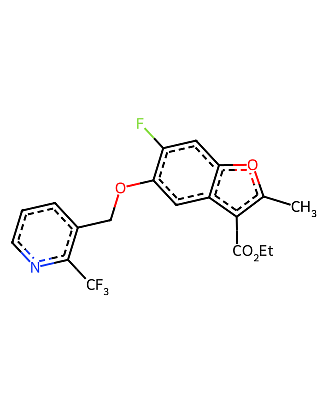 CCOC(=O)c1c(C)oc2cc(F)c(OCc3cccnc3C(F)(F)F)cc12